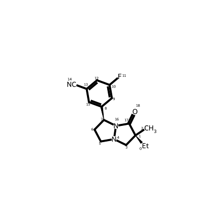 CC[C@@]1(C)CN2CC[C@@H](c3cc(F)cc(C#N)c3)N2C1=O